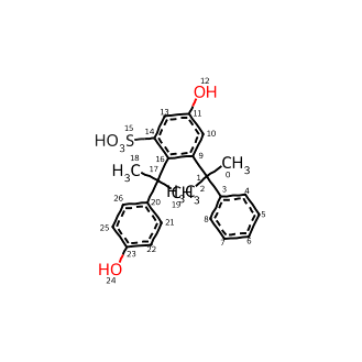 CC(C)(c1ccccc1)c1cc(O)cc(S(=O)(=O)O)c1C(C)(C)c1ccc(O)cc1